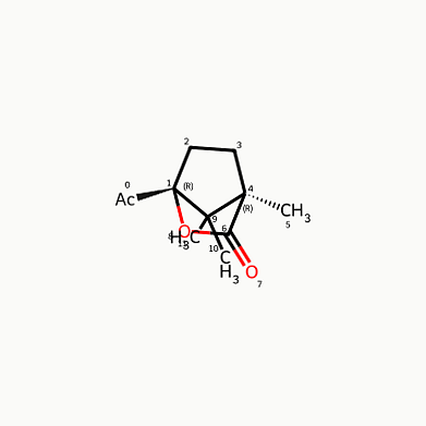 CC(=O)[C@]12CC[C@@](C)(C(=O)O1)C2(C)C